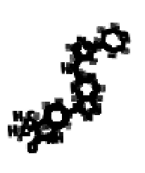 CC1(C)C(=O)Nc2cc(-n3nnc4cnc(Nc5cnn(C6CCOCC6)c5)nc43)ccc21